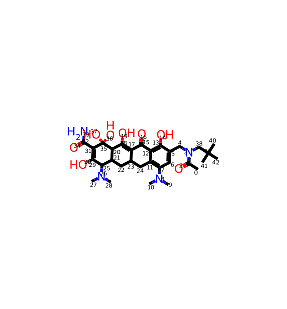 CC(=O)N(Cc1cc(N(C)C)c2c(c1O)C(=O)C1=C(O)C3C(CC1C2)C(N(C)C)C(O)=C(C(N)=O)C3(O)O)CC(C)(C)C